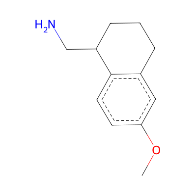 COc1ccc2c(c1)CCCC2CN